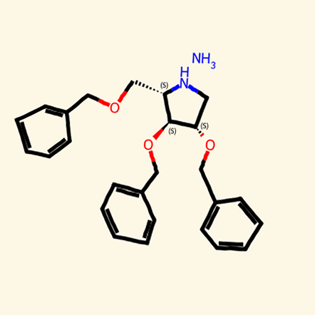 N.c1ccc(COC[C@@H]2NC[C@H](OCc3ccccc3)[C@H]2OCc2ccccc2)cc1